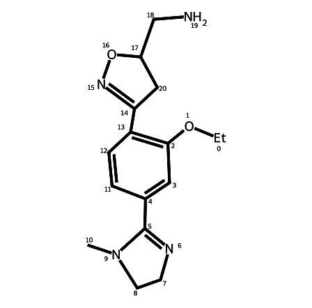 CCOc1cc(C2=NCCN2C)ccc1C1=NOC(CN)C1